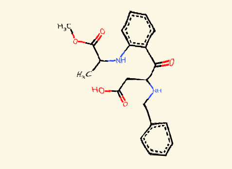 COC(=O)C(C)Nc1ccccc1C(=O)[C@H](CC(=O)O)NCc1ccccc1